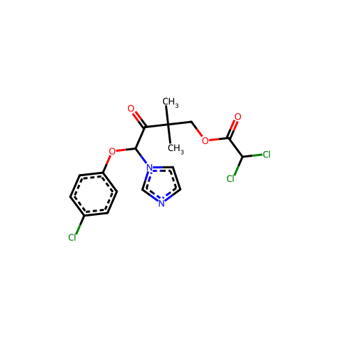 CC(C)(COC(=O)C(Cl)Cl)C(=O)C(Oc1ccc(Cl)cc1)n1ccnc1